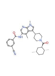 Cc1c(NC(=O)c2cccc(C#N)c2)cnc2c1c(C1CCN(C(=O)[C@@H]3C[C@@H](C)CC[C@H]3C)CC1)cn2C